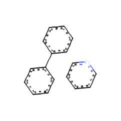 c1ccc(-c2ccccc2)cc1.c1ccncc1